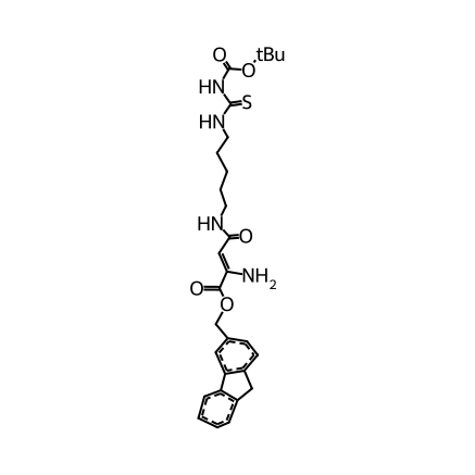 CC(C)(C)OC(=O)NC(=S)NCCCCCNC(=O)C=C(N)C(=O)OCc1ccc2c(c1)-c1ccccc1C2